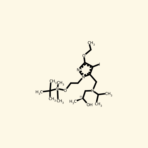 CCOc1nn(CCO[Si](C)(C)C(C)(C)C)c(CN(C[C@H](C)O)C(C)C)c1I